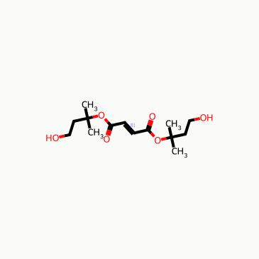 CC(C)(CCO)OC(=O)/C=C/C(=O)OC(C)(C)CCO